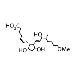 COCCCC[C@H](C)[C@H](O)/C=C/[C@@H]1[C@@H](C/C=C\CCCC(=O)O)[C@@H](O)C[C@H]1O